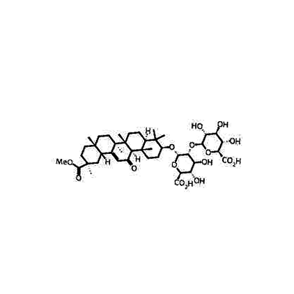 COC(=O)[C@@]1(C)CC[C@]2(C)CC[C@]3(C)C(=CC(=O)[C@@H]4[C@@]5(C)CC[C@H](O[C@H]6O[C@H](C(=O)O)[C@@H](O)[C@H](O)[C@H]6O[C@@H]6O[C@H](C(=O)O)[C@@H](O)[C@H](O)[C@H]6O)C(C)(C)[C@@H]5CC[C@]43C)[C@@H]2C1